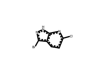 Clc1ccc2c(Br)n[nH]c2n1